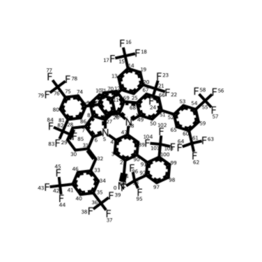 N#Cc1cc(-n2c3c(c4ccc(-c5cc(C(F)(F)F)cc(C(F)(F)F)c5)cc42)C=CC/C3=C\c2cc(C(F)(F)F)cc(C(F)(F)F)c2)c(-n2c3cc(-c4cc(C(F)(F)F)cc(C(F)(F)F)c4)ccc3c3ccc(-c4cc(C(F)(F)F)cc(C(F)(F)F)c4)cc32)cc1-c1c(C(F)(F)F)cccc1C(F)(F)F